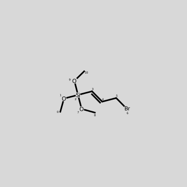 CO[Si](C=CCBr)(OC)OC